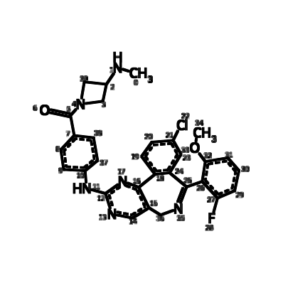 CNC1CN(C(=O)c2ccc(Nc3ncc4c(n3)-c3ccc(Cl)cc3C(c3c(F)cccc3OC)=NC4)cc2)C1